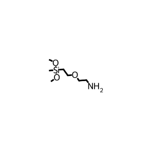 CO[Si](C)(CCOCCN)OC